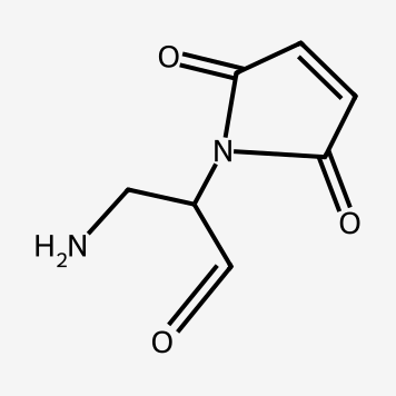 NCC(C=O)N1C(=O)C=CC1=O